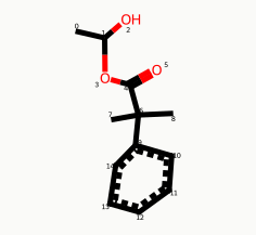 CC(O)OC(=O)C(C)(C)c1ccccc1